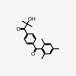 Cc1cc(C)c(C(=O)c2ccc(C(=O)C(C)(C)O)cc2)c(C)c1